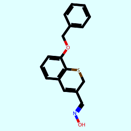 ON=CC1=Cc2cccc(OCc3ccccc3)c2SC1